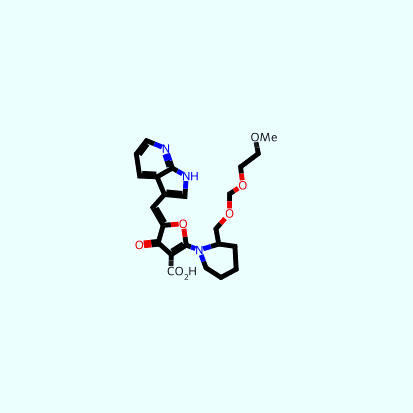 COCCOCOCC1CCCCN1C1=C(C(=O)O)C(=O)C(=Cc2c[nH]c3ncccc23)O1